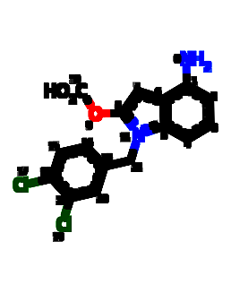 Nc1cccc2c1cc(OC(=O)O)n2Cc1ccc(Cl)c(Cl)c1